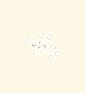 O=C(N[C@@H]1C(OCc2ccccc2)O[C@@H](COC(c2ccccc2)(c2ccccc2)c2ccccc2)[C@H](OCc2ccccc2)[C@H]1OCc1ccccc1)OCc1ccccc1